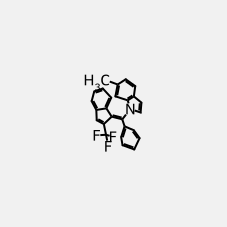 Cc1ccc2ccn(C(=C3C(C(F)(F)F)=Cc4ccccc43)c3ccccc3)c2c1